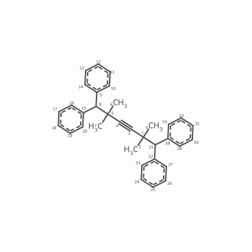 CC(C)(C#CC(C)(C)C(c1ccccc1)c1ccccc1)C(c1ccccc1)c1ccccc1